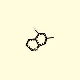 Cc1cc(F)c2cccnc2c1